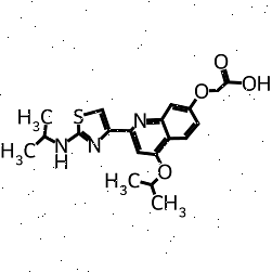 CC(C)Nc1nc(-c2cc(OC(C)C)c3ccc(OCC(=O)O)cc3n2)cs1